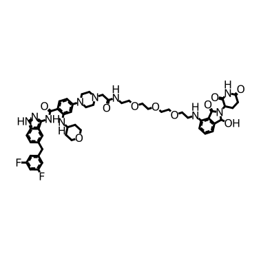 O=C(CN1CCN(c2ccc(C(=O)Nc3n[nH]c4ccc(Cc5cc(F)cc(F)c5)cc34)c(NC3CCOCC3)c2)CC1)NCCOCCOCCOCCNc1cccc2c1C(=O)N(C1CCC(=O)NC1=O)C2O